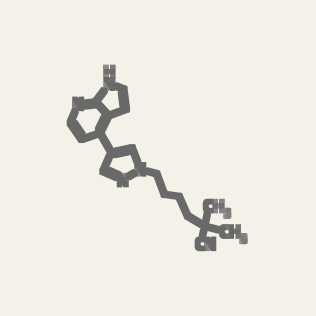 CC(C)(C#N)CCCCn1cc(-c2ccnc3[nH]ccc23)cn1